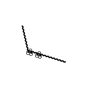 CCCCCCCCCCCCCCCCCC(=O)OC(=O)CCCC(=O)OC(=O)CCCCCCCCCCCCCCCCC